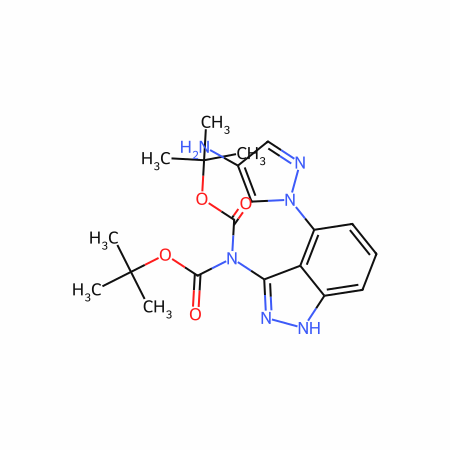 CC(C)(C)OC(=O)N(C(=O)OC(C)(C)C)c1n[nH]c2cccc(-n3cc(N)cn3)c12